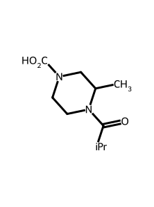 CC(C)C(=O)N1CCN(C(=O)O)CC1C